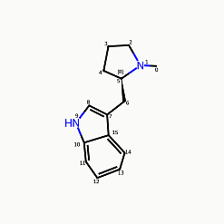 CN1CCC[C@@H]1Cc1c[nH]c2ccccc12